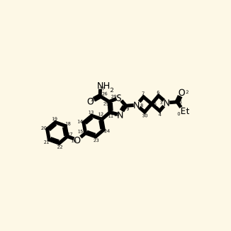 CCC(=O)N1CC2(C1)CN(c1nc(-c3ccc(Oc4ccccc4)cc3)c(C(N)=O)s1)C2